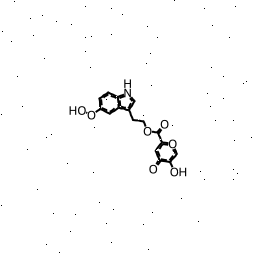 O=C(OCCc1c[nH]c2ccc(OO)cc12)c1cc(=O)c(O)co1